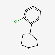 Clc1ccccc1C1CC[CH]CC1